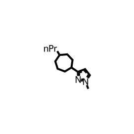 CCCC1CCCC(c2ccn(C)n2)CC1